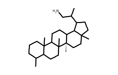 CC(CN)C1CCC2(C)CC[C@]3(C)C(CCC4C5(C)CCCC(C)C5CCC43C)C12